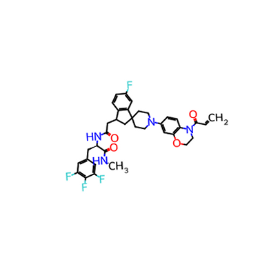 C=CC(=O)N1CCOc2cc(N3CCC4(CC3)CC(CC(=O)N[C@H](Cc3cc(F)c(F)c(F)c3)C(=O)NC)c3ccc(F)cc34)ccc21